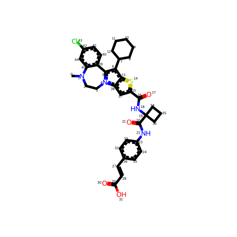 CN1CCn2c(c(C3CCCCC3)c3sc(C(=O)NC4(C(=O)Nc5ccc(/C=C/C(=O)O)cc5)CCC4)cc32)-c2ccc(Cl)cc21